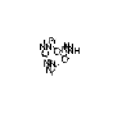 CCCc1nc2ccc(-c3cn4c(C)cc(C)nc4n3)cc2n1Cc1ccc(-c2ccccc2-c2nnn[nH]2)cc1